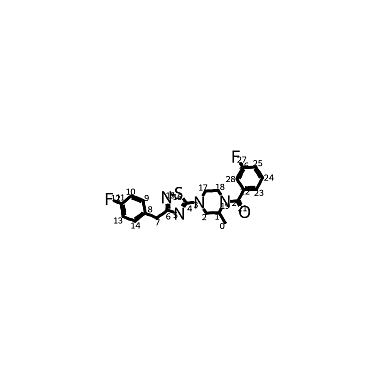 CC1CN(c2nc(Cc3ccc(F)cc3)ns2)CCN1C(=O)c1cccc(F)c1